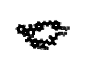 CCC(CC)N(CCN(C)C(=O)CCC(=O)O)Cc1cccc(C(=O)Nc2sc3c(c2C(=O)Nc2ccc(CCCc4ccc(C(=O)O)cc4)cc2)CCCC3)c1